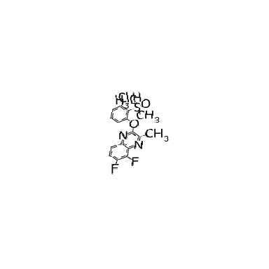 Cc1nc2c(F)c(F)ccc2nc1Oc1cccc(Cl)c1[SH](C)(C)=O